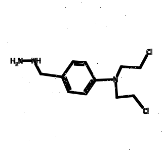 NNCc1ccc(N(CCCl)CCCl)cc1